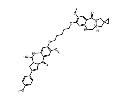 COc1ccc(C2=CN3C(=O)c4cc(OC)c(OCCCCCOc5cc6c(cc5OC)C(=O)N5CC7(CC7)C[C@H]5CN6)cc4NC(O)C3C2)cc1